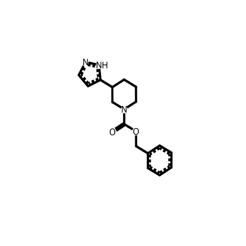 O=C(OCc1ccccc1)N1CCCC(c2ccn[nH]2)C1